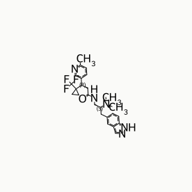 Cc1ccc([C@@H](CC(=O)NC[C@H](Cc2ccc3[nH]ncc3c2)N(C)C)C2(C(F)(F)F)CC2)cn1